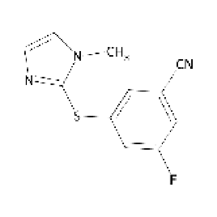 Cn1ccnc1Sc1cc(F)cc(C#N)c1